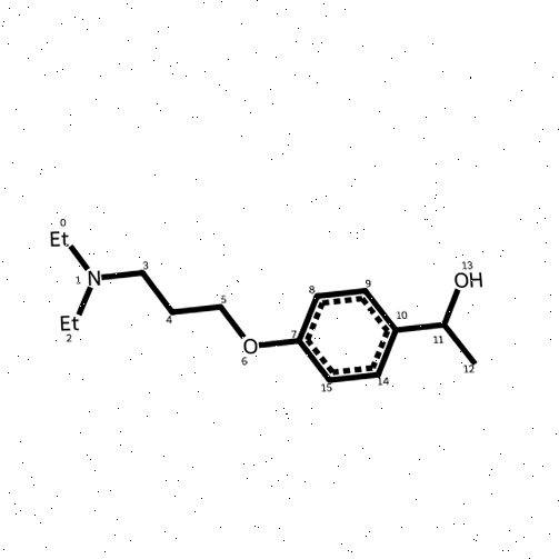 CCN(CC)CCCOc1ccc(C(C)O)cc1